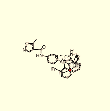 Cc1oncc1C(=O)Nc1cc[c]([Au]([c]2c(C(C)C)cccc2C(C)C)([c]2c(C(C)C)cccc2C(C)C)(=[c]2[nH]cc[nH]2)([C](F)(F)F)[C](F)(F)F)cc1